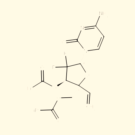 C=C[C@]1(COC(=O)C(C)C)O[C@@H](n2ccc(N)nc2=O)C(F)(F)[C@@H]1OC(=O)C(C)C